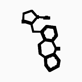 CCCCN1CCN=C1Cc1cccc2c1C=Cc1ccccc1N2